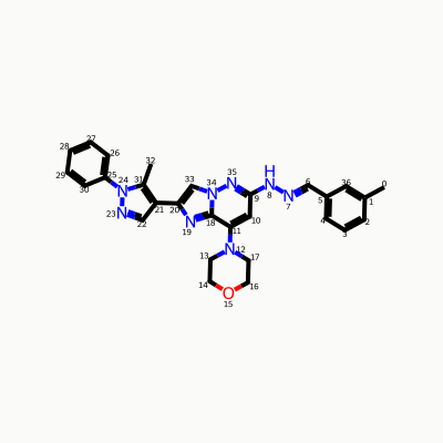 Cc1cccc(/C=N/Nc2cc(N3CCOCC3)c3nc(-c4cnn(-c5ccccc5)c4C)cn3n2)c1